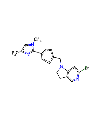 Cn1cc(C(F)(F)F)nc1-c1ccc(CN2CCc3cnc(Br)cc32)cc1